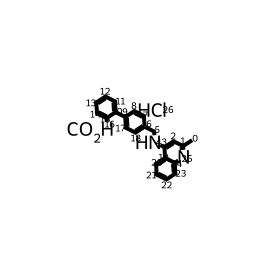 Cc1cc(NCc2ccc(-c3ccccc3C(=O)O)cc2)c2ccccc2n1.Cl